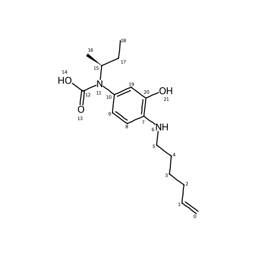 C=CCCCCNc1ccc(N(C(=O)O)[C@@H](C)CC)cc1O